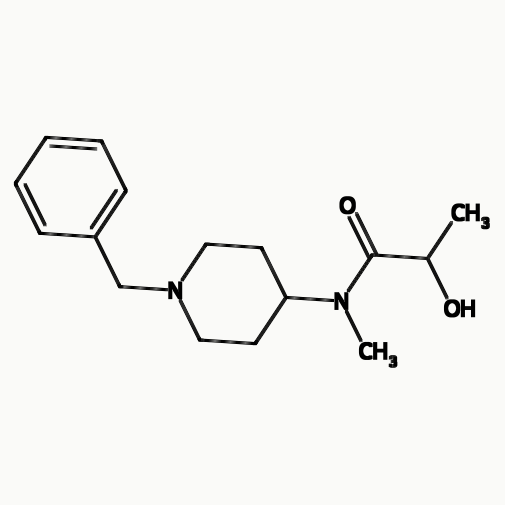 CC(O)C(=O)N(C)C1CCN(Cc2ccccc2)CC1